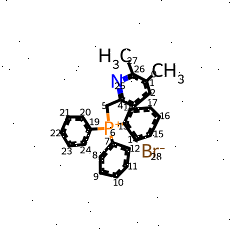 Cc1ccc(C[P+](c2ccccc2)(c2ccccc2)c2ccccc2)nc1C.[Br-]